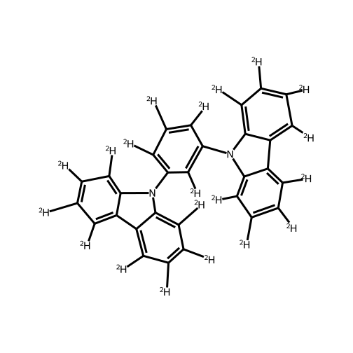 [2H]c1c([2H])c(-n2c3c([2H])c([2H])c([2H])c([2H])c3c3c([2H])c([2H])c([2H])c([2H])c32)c([2H])c(-n2c3c([2H])c([2H])c([2H])c([2H])c3c3c([2H])c([2H])c([2H])c([2H])c32)c1[2H]